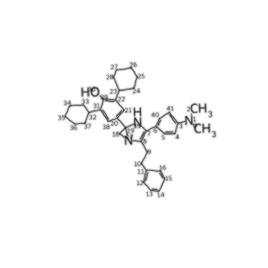 CN(C)c1ccc(C2=C(CCc3ccccc3)N3CC3(c3cc(C4CCCCC4)c(O)c(C4CCCCC4)c3)N2)cc1